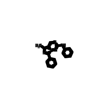 Cc1nc(-c2ccccc2)n2nc(Nc3ccccc3)ncc12